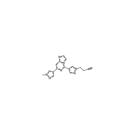 C#CCCn1cc(-c2nc(-c3cnn(C)c3)cc3nccn23)cn1